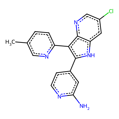 Cc1ccc(-c2c(-c3ccnc(N)c3)[nH]c3cc(Cl)cnc23)nc1